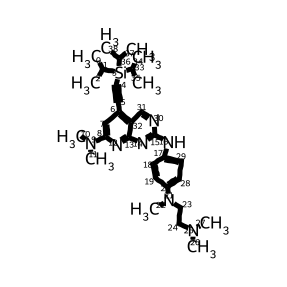 CC(C)[Si](C#Cc1cc(N(C)C)nc2nc(Nc3ccc(N(C)CCN(C)C)cc3)ncc12)(C(C)C)C(C)C